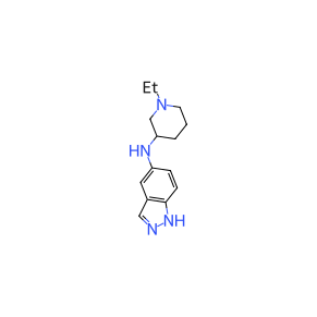 CCN1CCCC(Nc2ccc3[nH]ncc3c2)C1